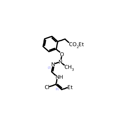 CC/C=C(/Cl)N/C=N\N(C)Oc1ccccc1CC(=O)OCC